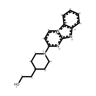 OCCC1CCN(c2ccn3c(n2)nc2ccccc23)CC1